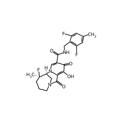 Cc1cc(F)c(CNC(=O)c2cn3c(c(O)c2=O)C(=O)N2CCC[C@@](C)(F)[C@@H]3C2)c(F)c1